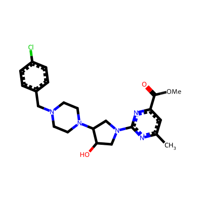 COC(=O)c1cc(C)nc(N2CC(O)C(N3CCN(Cc4ccc(Cl)cc4)CC3)C2)n1